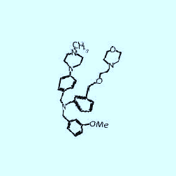 COc1cccc(CN(Cc2ccc(N3CCN(C)CC3)cc2)c2cccc(COCCN3CCOCC3)c2)c1